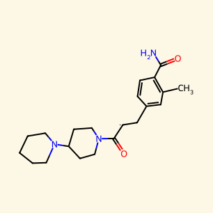 Cc1cc(C[CH]C(=O)N2CCC(N3CCCCC3)CC2)ccc1C(N)=O